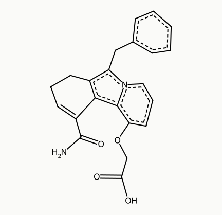 NC(=O)C1=CCCc2c1c1c(OCC(=O)O)cccn1c2Cc1ccccc1